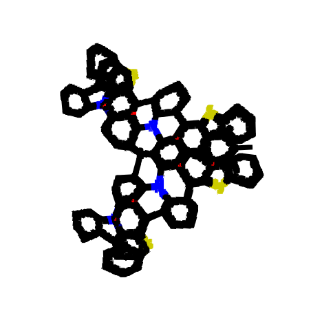 Cc1cc(-c2cc3c4c(c2)N(c2c(-c5cccc6c5sc5ccccc56)cccc2-c2cccc5c2sc2ccccc25)c2cc(-n5c6ccccc6c6ccccc65)ccc2B4c2ccc(-n4c5ccccc5c5ccccc54)cc2N3c2c(-c3cccc4c3sc3ccccc34)cccc2-c2cccc3c2sc2ccccc23)cc(C)c1C